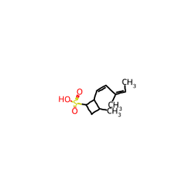 C/C=C(C)\C=C/C1C(C)CC1S(=O)(=O)O